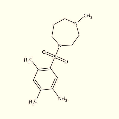 Cc1cc(C)c(S(=O)(=O)N2CCCN(C)CC2)cc1N